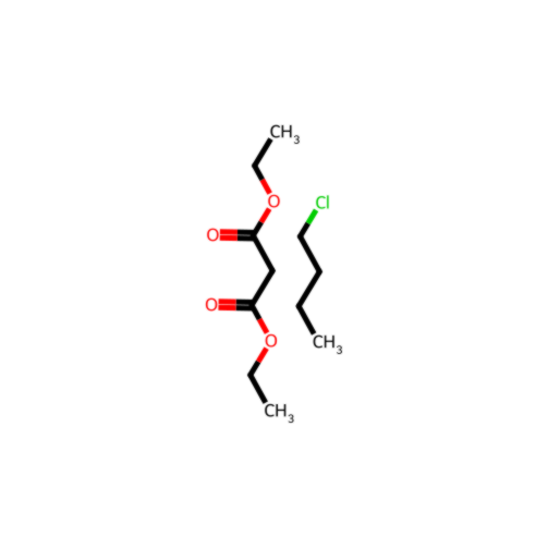 CCCCCl.CCOC(=O)CC(=O)OCC